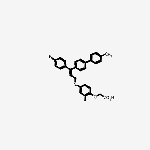 Cc1cc(SCC=C(c2ccc(F)cc2)c2ccc(-c3ccc(C(F)(F)F)cc3)cc2)ccc1OCC(=O)O